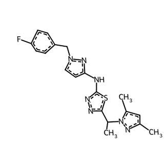 Cc1cc(C)n(C(C)c2nnc(Nc3ccn(Cc4ccc(F)cc4)n3)s2)n1